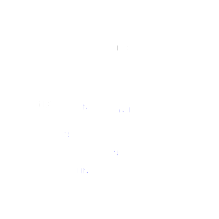 Cc1nc(NCc2ccccc2C)c2nc[nH]c2n1